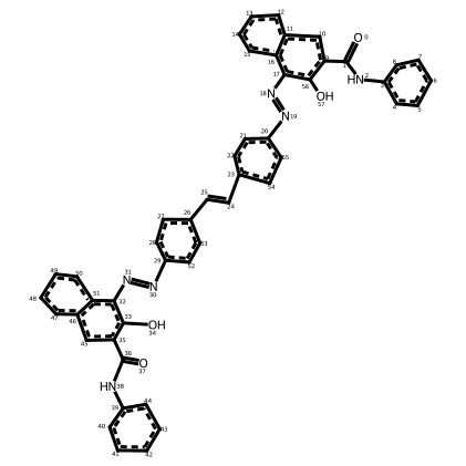 O=C(Nc1ccccc1)c1cc2ccccc2c(N=Nc2ccc(C=Cc3ccc(N=Nc4c(O)c(C(=O)Nc5ccccc5)cc5ccccc45)cc3)cc2)c1O